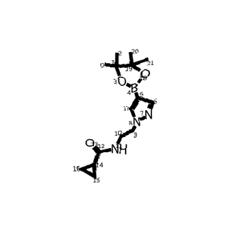 CC1(C)OB(c2cnn(CCNC(=O)C3CC3)c2)OC1(C)C